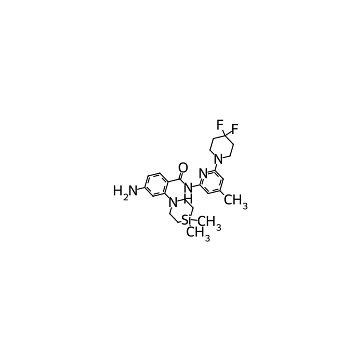 Cc1cc(NC(=O)c2ccc(N)cc2N2CC[Si](C)(C)CC2)nc(N2CCC(F)(F)CC2)c1